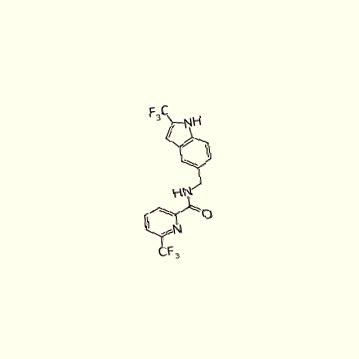 O=C(NCc1ccc2[nH]c(C(F)(F)F)cc2c1)c1cccc(C(F)(F)F)n1